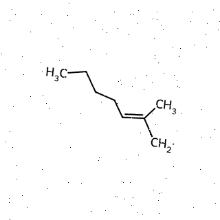 [CH2]/C(C)=C/CCCC